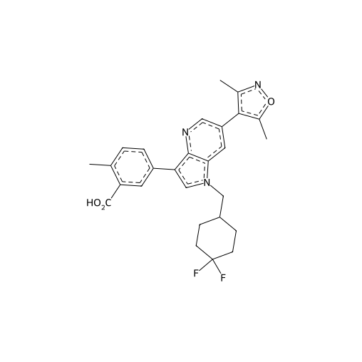 Cc1ccc(-c2cn(CC3CCC(F)(F)CC3)c3cc(-c4c(C)noc4C)cnc23)cc1C(=O)O